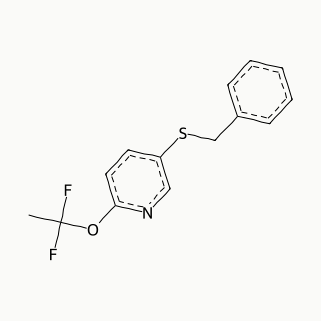 CC(F)(F)Oc1ccc(SCc2ccccc2)cn1